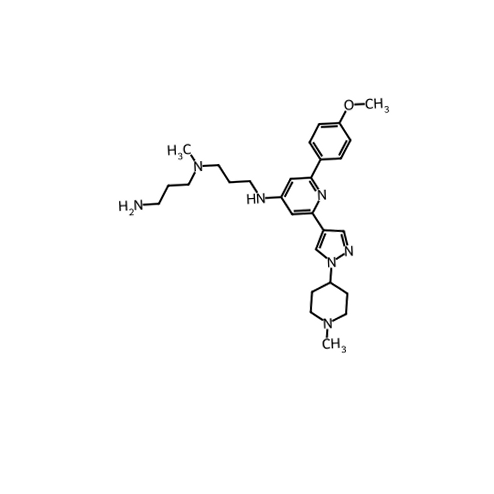 COc1ccc(-c2cc(NCCCN(C)CCCN)cc(-c3cnn(C4CCN(C)CC4)c3)n2)cc1